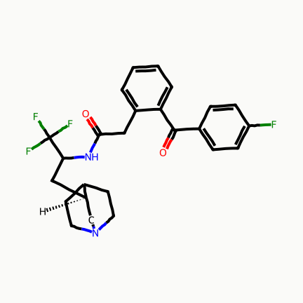 O=C(Cc1ccccc1C(=O)c1ccc(F)cc1)NC(C[C@@H]1CN2CCC1CC2)C(F)(F)F